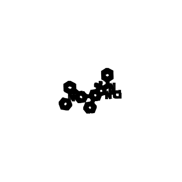 CC1(C)c2cc(-c3ccc4c(c3)c3ccccc3n4-c3ccccc3)c(-c3ccccc3)cc2-c2nc(Cl)nc(-c3ccccc3)c21